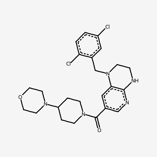 O=C(c1cnc2c(c1)N(Cc1cc(Cl)ccc1Cl)CCN2)N1CCC(N2CCOCC2)CC1